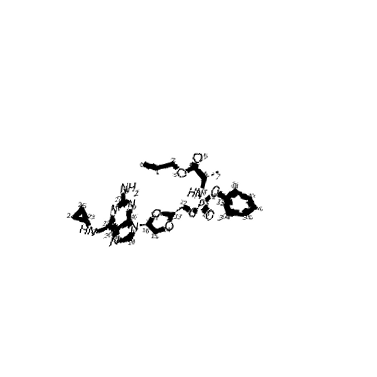 C=CCOC(=O)[C@H](C)N[P@](=O)(OC[C@@H]1OC[C@H](n2cnc3c(NC4CC4)nc(N)nc32)O1)Oc1ccccc1